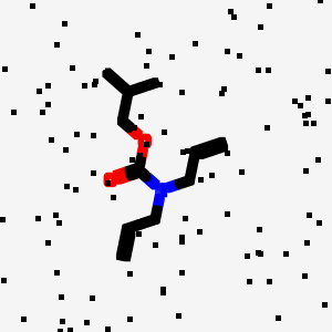 C=CCN(CC=C)C(=O)OCC(C)C